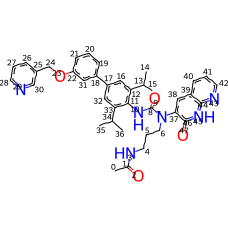 CC(=O)NCCCN(C(=O)Nc1c(C(C)C)cc(-c2cccc(OCc3cccnc3)c2)cc1C(C)C)c1cc2cccnc2[nH]c1=O